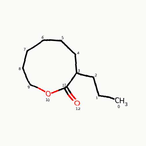 CCCC1CCCCCCOC1=O